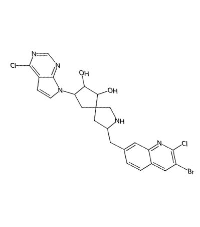 OC1C(n2ccc3c(Cl)ncnc32)CC2(CNC(Cc3ccc4cc(Br)c(Cl)nc4c3)C2)C1O